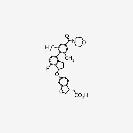 Cc1cc(C(=O)N2CCOCC2)cc(C)c1-c1ccc(F)c2c1CC[C@H]2Oc1ccc2c(c1)OC[C@H]2CC(=O)O